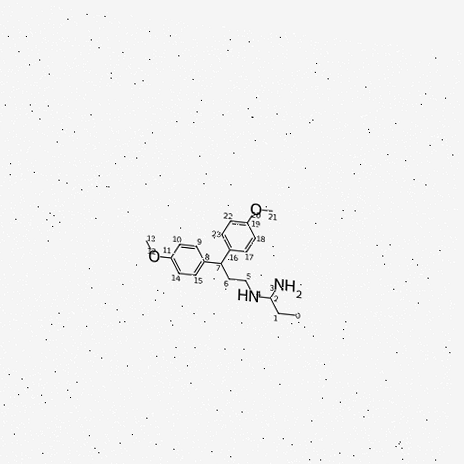 CCC(N)NCCC(c1ccc(OC)cc1)c1ccc(OC)cc1